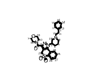 O=C(c1nn(C2CCCN(CCc3ccccc3)C2)c2c1CS(=O)(=O)c1ccccc1-2)N1CCOCC1